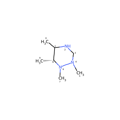 CC1NCN(C)N(C)[C@@H]1C